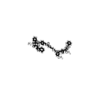 Cc1ccc(OCCOCCOCC(=O)OCc2ccc(NC(=O)C(c3ccccc3)N(C)C(=O)CC3=CN=C4C=CC=CC34)cc2)c(Nc2nc(-c3sc(NC(=O)c4ccccc4)nc3C)cs2)c1